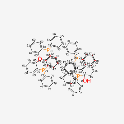 OC1(P(c2ccccc2)c2ccccc2)CC=c2ccccc2=C1c1c(P(c2ccccc2)c2ccccc2)ccc2ccccc12.c1ccc(P(c2ccccc2)c2ccccc2Oc2ccccc2P(c2ccccc2)c2ccccc2)cc1